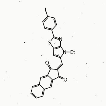 CCn1c(C=C2C(=O)c3cc4ccccc4cc3C2=O)cc2sc(-c3ccc(I)cc3)nc21